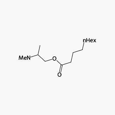 CCCCCCCCCC(=O)OCC(C)NC